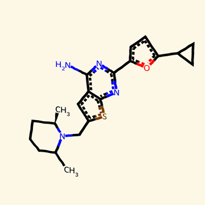 CC1CCC[C@@H](C)N1Cc1cc2c(N)nc(-c3ccc(C4CC4)o3)nc2s1